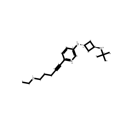 CCOCCCC#Cc1ccc(O[C@H]2C[C@H](OC(C)(C)C)C2)cn1